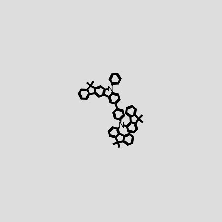 CC1(C)c2ccccc2-c2cc3c4cc(-c5ccc(N(c6cccc7c6-c6ccccc6C7(C)C)c6cccc7c6-c6ccccc6C7(C)C)cc5)ccc4n(-c4ccccc4)c3cc21